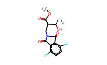 COC(=O)C(CN1C(=O)c2c(F)ccc(F)c2C1=O)C(C)O